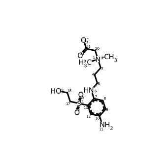 C[N+](C)(CCCNc1ccc(N)cc1S(=O)(=O)CCO)CC(=O)[O-]